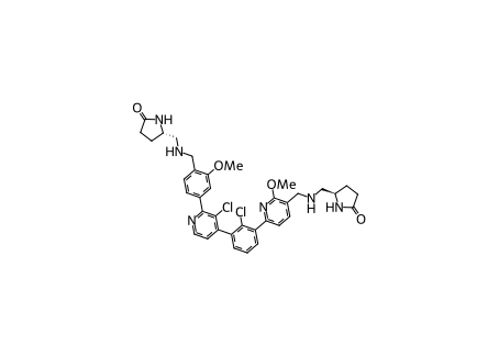 COc1cc(-c2nccc(-c3cccc(-c4ccc(CNC[C@H]5CCC(=O)N5)c(OC)n4)c3Cl)c2Cl)ccc1CNC[C@@H]1CCC(=O)N1